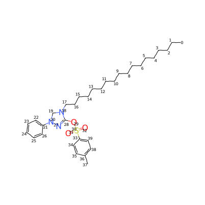 CCCCCCCCCCCCCCCCCCN1CN(c2ccccc2)N=C1OS(=O)(=O)c1ccc(C)cc1